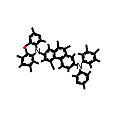 Cc1cc(C)c(N(c2c(C)c(C)c(C)c(C)c2C)c2c(C)c(C)c3c(c2C)c(C)c(C)c2c(C)c(N(c4c(C)cc(C)cc4C)c4c(C)c(C)c(C)c(C)c4C)c(C)c(C)c23)c(C)c1